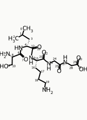 CC(C)C[C@@H](NC(=O)[C@@H](N)CO)C(=O)N[C@@H](CCCCN)C(=O)NCC(=O)NCC(=O)O